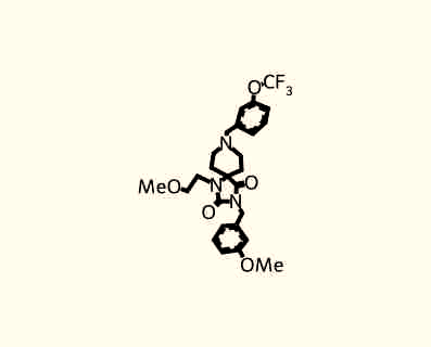 COCCN1C(=O)N(Cc2cccc(OC)c2)C(=O)C12CCN(Cc1cccc(OC(F)(F)F)c1)CC2